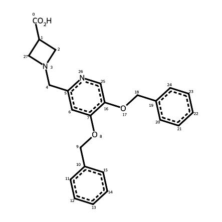 O=C(O)C1CN(Cc2cc(OCc3ccccc3)c(OCc3ccccc3)cn2)C1